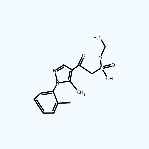 CCOP(=O)(O)CC(=O)c1cnn(-c2ccccc2I)c1C